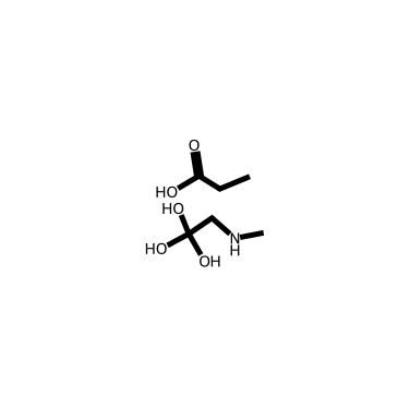 CCC(=O)O.CNCC(O)(O)O